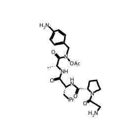 CC(=O)ON(Cc1ccc(N)cc1)C(=O)[C@@H](C)NC(=O)[C@@H](CC(C)C)NC(=O)[C@@H]1CCCN1C(=O)CN